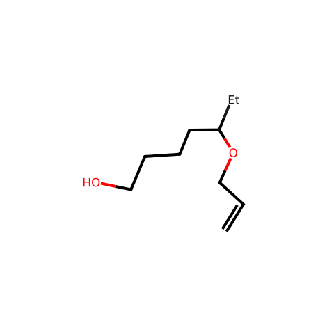 C=CCOC(CC)CCCCO